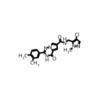 Cc1ccc(-c2nn3cc(C(=O)NCc4c(Cl)cnn4C)cc3c(=O)[nH]2)cc1C